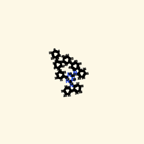 c1ccc(-c2ccc(-c3cccc(-c4nc(-n5c6ccccc6c6ccccc65)nc(-n5c6ccccc6c6ccc(-c7ccccc7)cc65)n4)c3)cc2)cc1